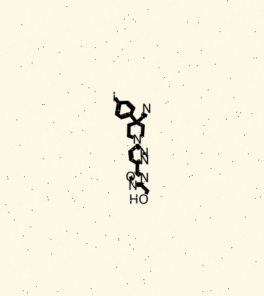 N#CC1(c2ccc(I)cc2)CCN(c2ccc(-c3nc(CO)no3)nn2)CC1